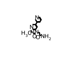 Cn1c(=O)n(CC(N)=O)c2cc(-c3cccnc3)cnc21